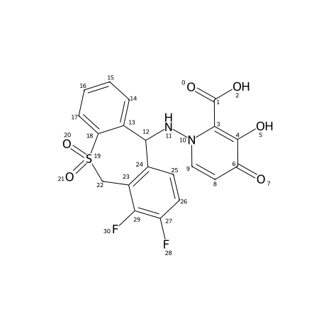 O=C(O)c1c(O)c(=O)ccn1NC1c2ccccc2S(=O)(=O)Cc2c1ccc(F)c2F